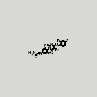 Cc1nc(OCc2ccc(F)cc2F)c(Br)c(=O)n1-c1c(F)cc(OCC(N)=O)cc1F